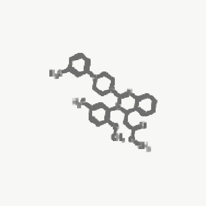 COC(=O)CC1c2ccccc2N=C(N2CCN(c3cccc(C)c3)CC2)N1c1cc(C)ccc1OC